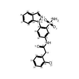 NS(=O)(=O)c1cc(NC(=O)Cc2ccccc2Cl)ccc1-n1ncc2ccccc21